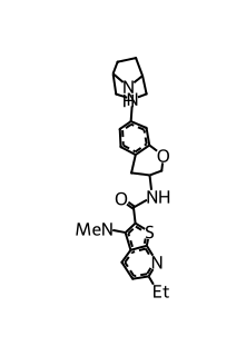 CCc1ccc2c(NC)c(C(=O)NC3COc4cc(N5CC6CCC(C5)N6)ccc4C3)sc2n1